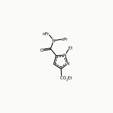 CCCN(CCC)C(=O)c1cc(C(=O)OCC)nn1CC